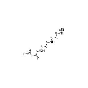 C=C(CNCC)CNCCCNCCCNCC